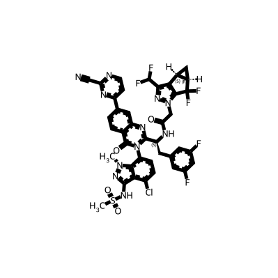 Cn1nc(NS(C)(=O)=O)c2c(Cl)ccc(-n3c([C@H](Cc4cc(F)cc(F)c4)NC(=O)Cn4nc(C(F)F)c5c4C(F)(F)[C@@H]4C[C@H]54)nc4cc(-c5ccnc(C#N)n5)ccc4c3=O)c21